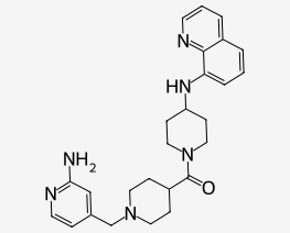 Nc1cc(CN2CCC(C(=O)N3CCC(Nc4cccc5cccnc45)CC3)CC2)ccn1